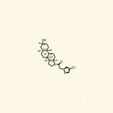 C[C@@]1(O)CC[C@H]2[C@@H](CC[C@@H]3[C@@H]2CC[C@]2(C)[C@@H](C(=O)Cn4cc(Cl)cn4)CC[C@@H]32)C1